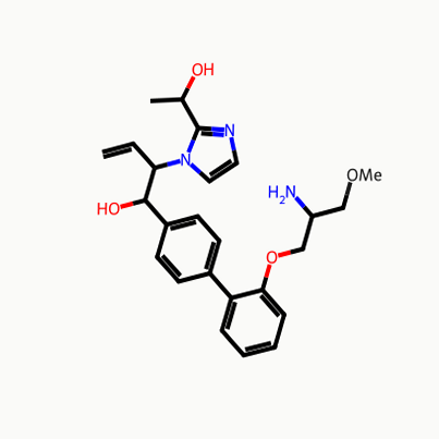 C=CC(C(O)c1ccc(-c2ccccc2OCC(N)COC)cc1)n1ccnc1C(C)O